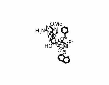 COc1nc(N)nc2c1ncn2C1O[C@H](COP(=O)(N[C@H](C(=O)O[C@@H](C)c2ccccc2)C(C)C)Oc2cccc3ccccc23)[C@@H](O)[C@@]1(C)O